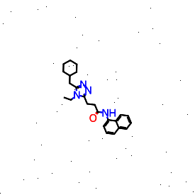 CCn1c(CCC(=O)Nc2cccc3ccccc23)nnc1CC1CCCCC1